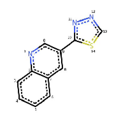 [c]1nc2ccccc2cc1-c1nncs1